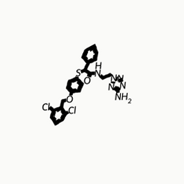 Nc1nnn(CCNC(=O)C(Sc2ccc(OCc3c(Cl)cccc3Cl)cc2)c2ccccc2)n1